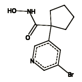 O=C(NO)C1(c2cncc(Br)c2)CCCC1